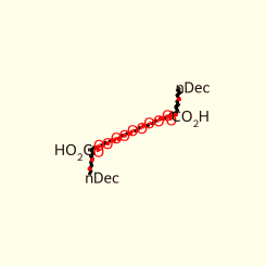 CCCCCCCCCCCCCCC/C=C/CC(CC(=O)OCCOCCOCCOCCOCCOCCOCCOCCOC(=O)CC(C/C=C/CCCCCCCCCCCCCCC)C(=O)O)C(=O)O